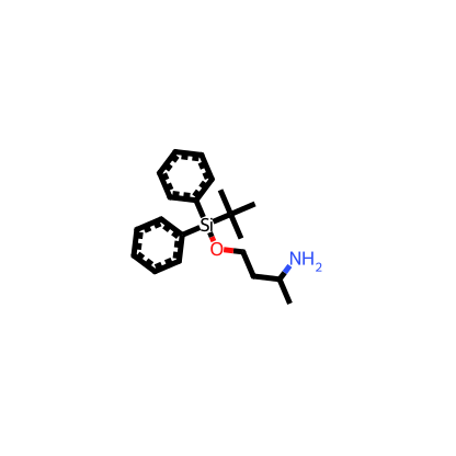 CC(N)CCO[Si](c1ccccc1)(c1ccccc1)C(C)(C)C